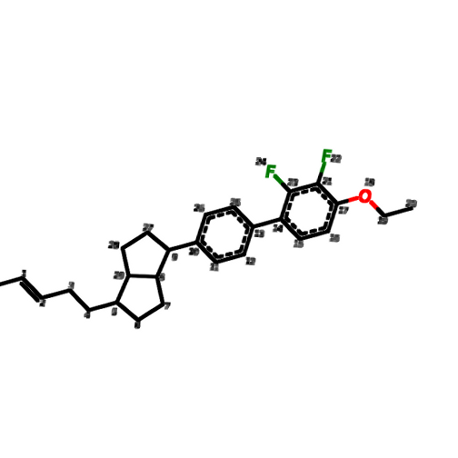 C/C=C/CCC1CCC2C(c3ccc(-c4ccc(OCC)c(F)c4F)cc3)CCC12